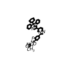 Cc1cc(NC(=O)c2ccc(-c3cnc4ccc(-c5cnn(C(c6ccccc6)(c6ccccc6)c6ccccc6)c5)cn34)cc2F)no1